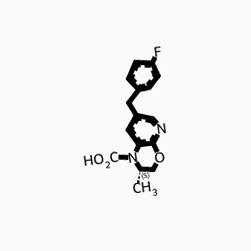 C[C@H]1COc2ncc(Cc3ccc(F)cc3)cc2N1C(=O)O